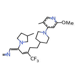 C=N/C=C(\C=C(/CCC1CCN(c2cc(OC)ncc2C)CC1)C(F)(F)F)N1CCC(C)C1